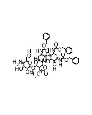 CN1C(=O)OC2C3O[C@H](O[C@@H]4C(NC(=O)OCc5ccccc5)C[C@@H](NC(=O)OCc5ccccc5)[C@@H](O)C4O)[C@@H](NC(=O)OCc4ccccc4)C[C@@H]3OC(O[C@H]3OC(CO)[C@@H](N)[C@H](O)C3O)C21